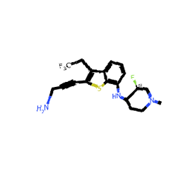 CN1CCC(Nc2cccc3c(CC(F)(F)F)c(C#CCN)sc23)[C@@H](F)C1